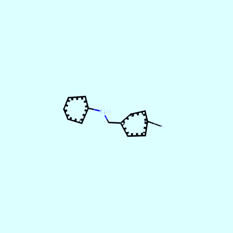 CCc1ccc(CNc2ccccc2)cc1